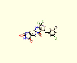 N#Cc1cc(Cl)cc(CCc2c(C(F)(F)I)ncn(Cc3cnc(O)[nH]c3=O)c2=O)c1